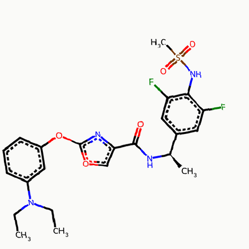 CCN(CC)c1cccc(Oc2nc(C(=O)N[C@H](C)c3cc(F)c(NS(C)(=O)=O)c(F)c3)co2)c1